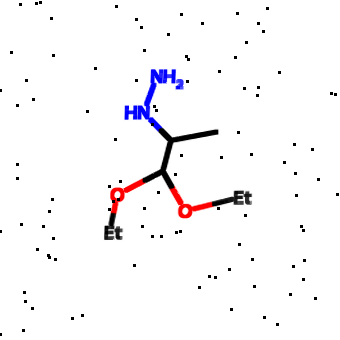 CCOC(OCC)C(C)NN